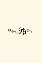 COCCN1CC2(C1)OC(I)=C(C)NC2=O